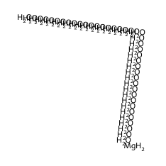 O.O.O.O.O.O.O.O.O.O.O.O.O.O.O.O.O.O.O.O.O.O.O.O.O.O.O.O.O.O.O.O.O.O.O.O.O.O.O.O.[MgH2]